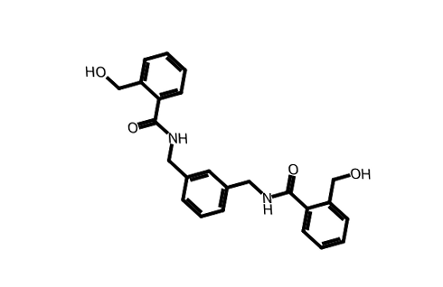 O=C(NCc1cccc(CNC(=O)c2ccccc2CO)c1)c1ccccc1CO